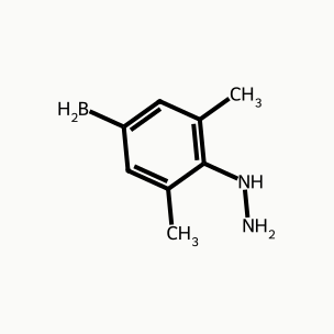 Bc1cc(C)c(NN)c(C)c1